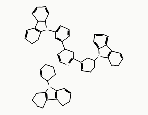 C1=CC2C3=C(CCC=C3)N(c3cccc(C4C=C([C@H]5CC=CC(n6c7c(c8c6CCCC8)CCC=C7)C5)N=C(C5=CCCC(n6c7c(c8ccccc86)C=CCC7)C5)C4)c3)C2C=C1